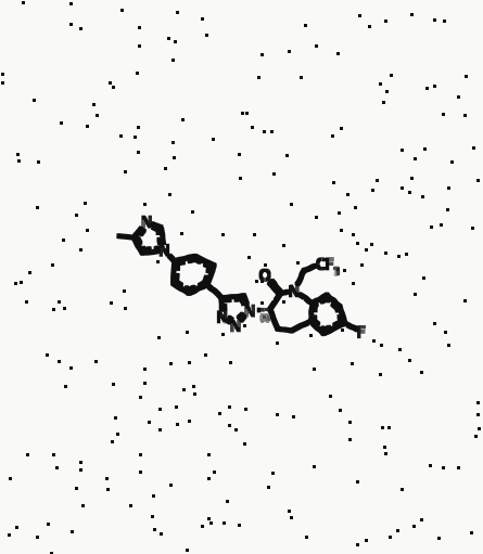 Cc1cn(-c2ccc(-c3cn([C@H]4CCc5cc(F)ccc5N(CC(F)(F)F)C4=O)nn3)cc2)cn1